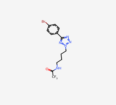 O=C(NCCCCn1nnc(-c2ccc(Br)cc2)n1)C(F)(F)F